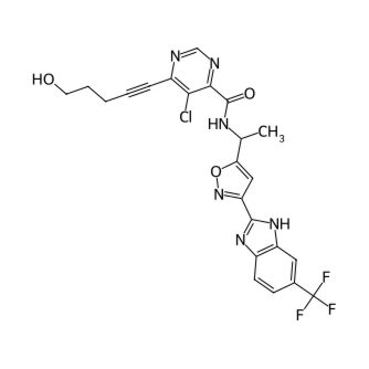 CC(NC(=O)c1ncnc(C#CCCCO)c1Cl)c1cc(-c2nc3ccc(C(F)(F)F)cc3[nH]2)no1